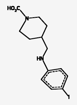 O=C(O)N1CCC(CNc2ccc(I)cc2)CC1